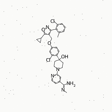 C/N=C(\N)c1ccnc(N2CCC(O)(c3ccc(OCc4c(-c5c(C)cccc5Cl)noc4C4CC4)cc3Cl)CC2)c1